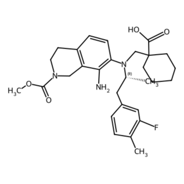 COC(=O)N1CCc2ccc(N(CC3(C(=O)O)CCCCC3)[C@H](C)Cc3ccc(C)c(F)c3)c(N)c2C1